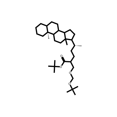 C[C@H](CCC(COCOC(C)(C)C)C(=O)OC(C)(C)C)C1CCC2C3CCC4CCCC[C@]4(C)C3CCC21C